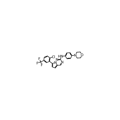 FC(F)(F)c1ccc(Cl)c(-c2ccc3cnc(Nc4ccc(N5CCOCC5)cc4)nn23)c1